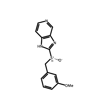 COc1cccc(C[S@@+]([O-])c2nc3cnccc3[nH]2)c1